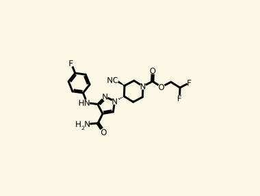 N#C[C@H]1CN(C(=O)OCC(F)F)CC[C@@H]1n1cc(C(N)=O)c(Nc2ccc(F)cc2)n1